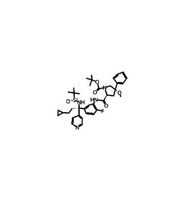 CO[C@]1(c2ccccc2)C[C@@H](C(=O)Nc2cc([C@](CCC3CC3)(N[S@@+]([O-])C(C)(C)C)c3ccncc3)ccc2F)N(C(=O)OC(C)(C)C)C1